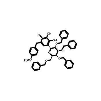 CCOc1ccc(Cc2cc([C@@H]3O[C@H](COCc4ccccc4)[C@@H](OCc4ccccc4)[C@H](OCc4ccccc4)[C@H]3OCc3ccccc3)c(O)c(O)c2Cl)cc1